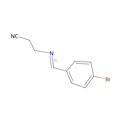 N#CCC/N=C/c1ccc(Br)cc1